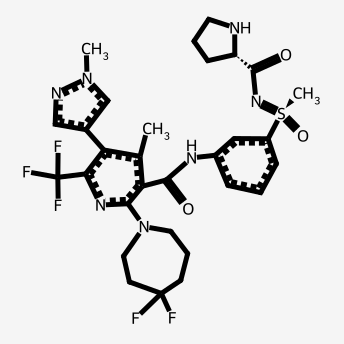 Cc1c(C(=O)Nc2cccc([S@@](C)(=O)=NC(=O)[C@@H]3CCCN3)c2)c(N2CCCC(F)(F)CC2)nc(C(F)(F)F)c1-c1cnn(C)c1